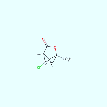 CC12C(=O)OC(C(=O)O)(CC1Cl)C2(C)C